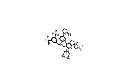 CC1(C)CCc2cc(CN(Cc3cc(C(F)(F)F)cc(C(F)(F)F)c3)c3ncc(N4CCCC4=O)cn3)c(N(CC3CC3)CC3CC3)nc21